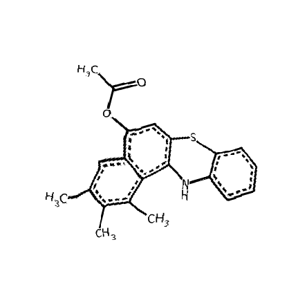 CC(=O)Oc1cc2c(c3c(C)c(C)c(C)cc13)Nc1ccccc1S2